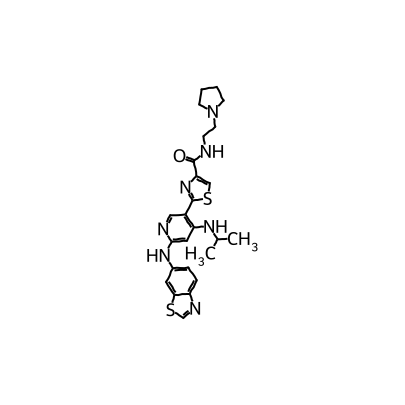 CC(C)Nc1cc(Nc2ccc3ncsc3c2)ncc1-c1nc(C(=O)NCCN2CCCC2)cs1